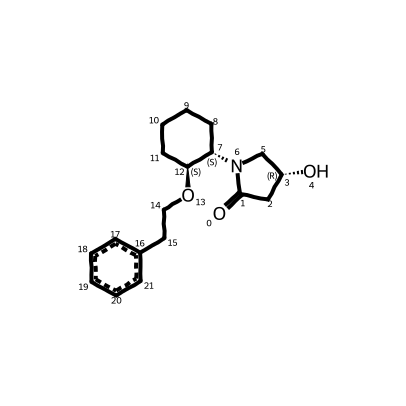 O=C1C[C@@H](O)CN1[C@H]1CCCC[C@@H]1OCCc1ccccc1